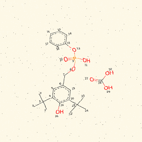 CC(C)(C)c1cc(COP(=O)(O)Oc2ccccc2)cc(C(C)(C)C)c1O.O=C(O)O